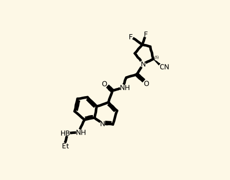 CCBNc1cccc2c(C(=O)NCC(=O)N3CC(F)(F)C[C@H]3C#N)ccnc12